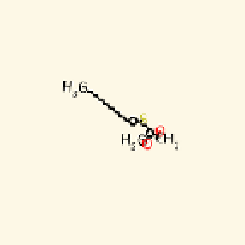 CCCCCCCCCCCCCCCCCc1ccc(C(=S)C=Cc2cc(C(C)=O)cc(C(C)=O)c2)cc1